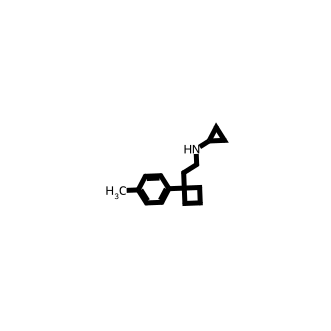 Cc1ccc(C2(CCNC3CC3)CCC2)cc1